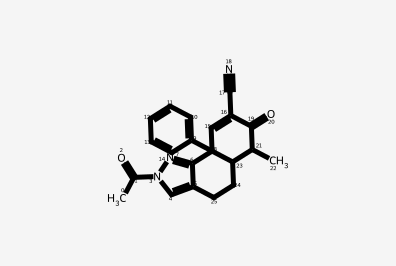 CC(=O)n1cc2c(n1)C1(c3ccccc3)C=C(C#N)C(=O)C(C)C1CC2